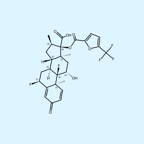 C[C@@H]1C[C@H]2[C@@H]3C[C@H](F)C4=CC(=O)C=C[C@]4(C)[C@@]3(F)[C@@H](O)C[C@]2(C)[C@@]1(OC(=O)c1ccc(C(F)(F)F)o1)C(=O)O